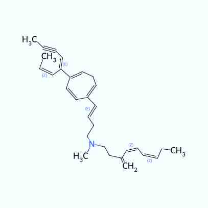 C=C(/C=C\C=C/CC)CCN(C)CC/C=C/C1=CCC=C(C(/C=C\C)=C/C#CC)C=C1